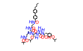 CCCCc1ccc(-c2ccc(C(=O)NCCC(=O)N[C@@H](CCCCNC(=O)OC(C)(C)C)C(=O)N[C@H](C(=O)N[C@@H](N)C(=O)N[C@@H](Cc3ccc(OCC(C)C)cc3)C(=O)O)[C@@H](C)OCC(C)C)cc2)cc1